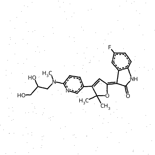 CN(CC(O)CO)c1ccc(C2=CC(=C3C(=O)Nc4ccc(F)cc43)OC2(C)C)cn1